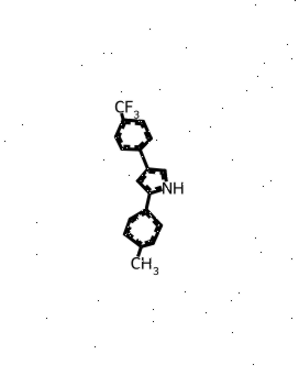 Cc1ccc(-c2cc(-c3ccc(C(F)(F)F)cc3)c[nH]2)cc1